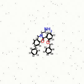 NCCN(Cc1ccc(-c2ccccc2)cc1)C(=O)c1ccccc1OCc1ccccc1